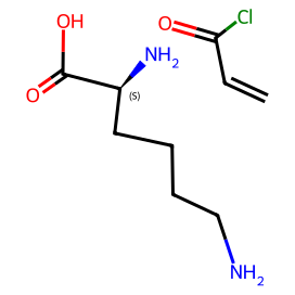 C=CC(=O)Cl.NCCCC[C@H](N)C(=O)O